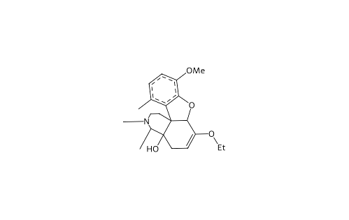 CCOC1=CCC2(O)C(C)N(C)CCC23c2c(C)ccc(OC)c2OC13